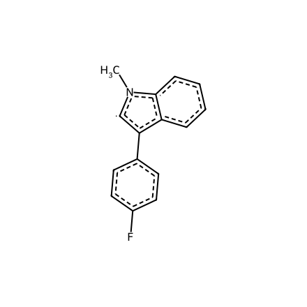 Cn1[c]c(-c2ccc(F)cc2)c2ccccc21